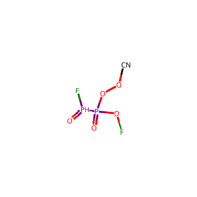 N#COOP(=O)(OF)[PH](=O)F